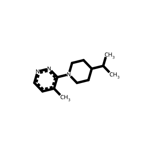 Cc1ccnnc1N1CCC(C(C)C)CC1